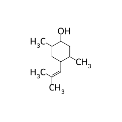 CC(C)=CC1CC(C)C(O)CC1C